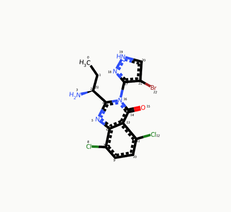 CC[C@H](N)c1nc2c(Cl)ccc(Cl)c2c(=O)n1-c1n[nH]cc1Br